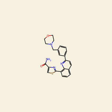 NC(=O)c1csc(-c2cccc3ccc(-c4cccc(CN5CCOCC5)c4)nc23)n1